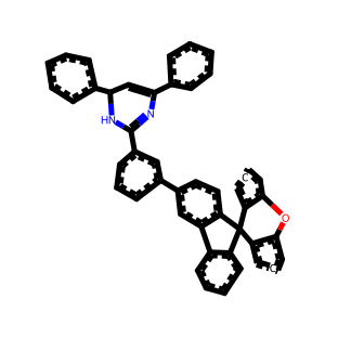 C1=C(c2ccccc2)N=C(c2cccc(-c3ccc4c(c3)-c3ccccc3C43c4ccccc4Oc4ccccc43)c2)NC1c1ccccc1